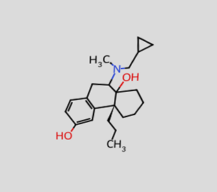 CCC[C@]12CCCCC1(O)C(N(C)CC1CC1)Cc1ccc(O)cc12